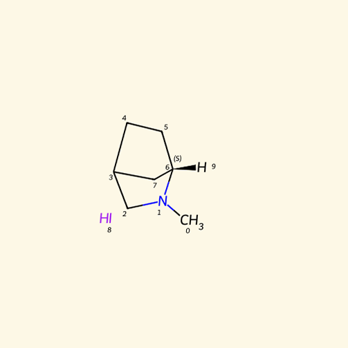 CN1CC2CC[C@H]1C2.I